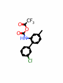 Cc1ccc(-c2cccc(Cl)c2)c(NC(=O)OC(=O)C(F)(F)F)c1